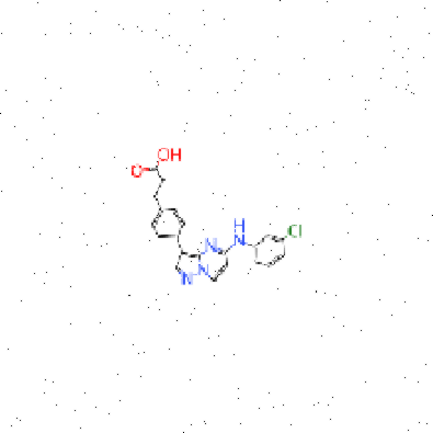 O=C(O)CCc1ccc(-c2cnn3ccc(Nc4cccc(Cl)c4)nc23)cc1